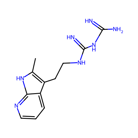 Cc1[nH]c2ncccc2c1CCNC(=N)NC(=N)N